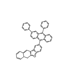 C1=CC2=Cc3c(oc4ccc(-c5c6ccccc6c(-c6ccccc6)c6cc(-c7ccccc7)ccc56)cc34)CC2C=C1